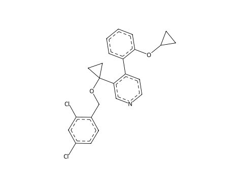 Clc1ccc(COC2(c3cnccc3-c3ccccc3OC3CC3)CC2)c(Cl)c1